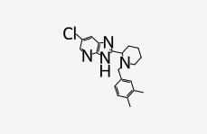 Cc1ccc(CN2CCCCC2c2nc3cc(Cl)cnc3[nH]2)cc1C